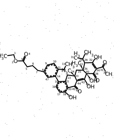 CCOC(=O)CCCc1ccc(CC)c(-c2ccc(O)c3c2C[C@]2(C)C[C@]4(C)C(C(C)C)C(O)=C(C(C)=O)C(=O)[C@]4(O)C(O)=C2C3=O)c1